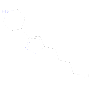 CCCCCc1cc(C2CCNCC2)n[nH]1.Cl